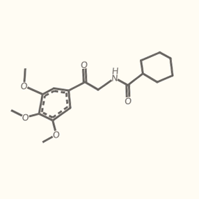 COc1cc(C(=O)CNC(=O)C2CCCCC2)cc(OC)c1OC